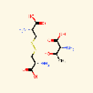 C[C@@H](O)[C@H](N)C(=O)O.N[C@@H](CSSC[C@H](N)C(=O)O)C(=O)O